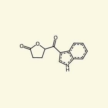 O=C1CCC(C(=O)c2c[nH]c3ccccc23)O1